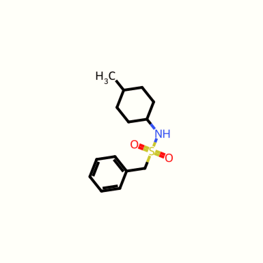 CC1CCC(NS(=O)(=O)Cc2ccccc2)CC1